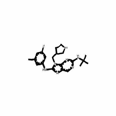 Cc1cc(Cl)cc(Nc2nc3cnc(NC(C)(C)C)nc3n2CC2CCNC2)c1